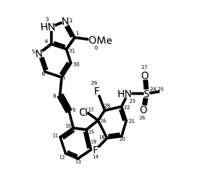 COc1n[nH]c2ncc(C#Cc3ccccc3C3(Cl)C(F)=CC=C(NS(C)(=O)=O)C3F)cc12